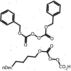 CCCCCCCCCCCCCCOC(=O)OOC(=O)O.O=C(OCc1ccccc1)OOC(=O)OCc1ccccc1